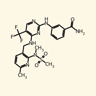 Cc1ccc(CNc2nc(Nc3cccc(C(N)=O)c3)ncc2C(F)(F)F)c(N(C)S(C)(=O)=O)n1